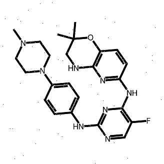 CN1CCN(c2ccc(Nc3ncc(F)c(Nc4ccc5c(n4)NCC(C)(C)O5)n3)cc2)CC1